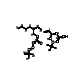 C=CC(OOC(C)(C)C)OC(=O)O.CCCCC(CC)COC(=O)OOOC(C)(C)C